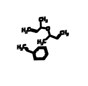 C=CC(C)OC(C)C=C.C=Cc1ccccc1